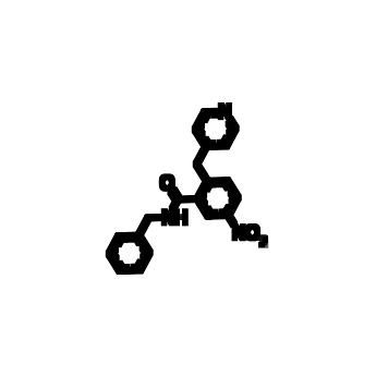 O=C(NCc1ccccc1)c1cc([N+](=O)[O-])ccc1Cc1ccncc1